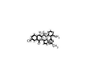 Cc1noc(-c2c(N)ncnc2NC(C)c2cc3ccc(Cl)cc3c(=O)n2-c2cc[nH]n2)n1